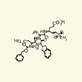 CC(C)[C@H](NC(=O)[C@@H](NC(=O)[C@H](CC(=O)O)NC(=O)OCc1ccccc1)C1Cc2ccccc2C1)C(=O)N[C@H](/C=C/S(C)(=O)=O)CCC(=O)O